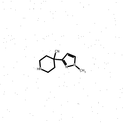 Cn1ccc(C2(C#N)CCNCC2)n1